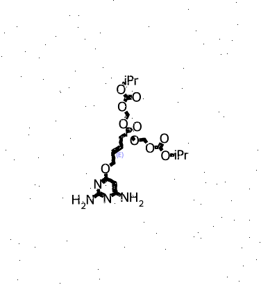 CC(C)OC(=O)OCOP(=O)(C/C=C/COc1cc(N)nc(N)n1)OCOC(=O)OC(C)C